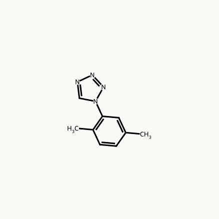 Cc1ccc(C)c(-n2cnnn2)c1